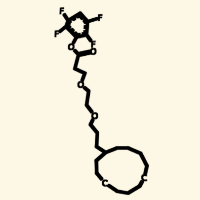 O=C(CCOCCOCCCC1CCCCCCCCCCC1)Oc1c(F)c(F)cc(F)c1F